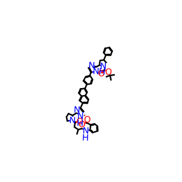 COC(=O)c1ccccc1NCC(C)CC(=O)N1CCCC1c1nc(-c2ccc3cc(-c4ccc(-c5cnc(C6CC(c7ccccc7)CN6C(=O)OC(C)(C)C)[nH]5)cc4)ccc3c2)c[nH]1